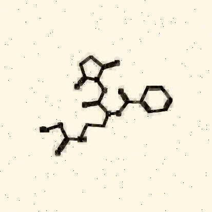 CC(C)(C)OC(=O)NCCN(OC(=O)c1ccccc1)C(=O)ON1C(=O)CCC1=O